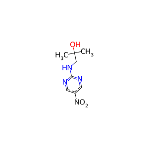 CC(C)(O)CNc1ncc([N+](=O)[O-])cn1